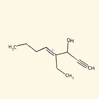 C#CC(O)/C(=C/CCC)CC